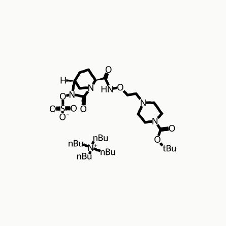 CC(C)(C)OC(=O)N1CCN(CCONC(=O)[C@@H]2CC[C@@H]3CN2C(=O)N3OS(=O)(=O)[O-])CC1.CCCC[N+](CCCC)(CCCC)CCCC